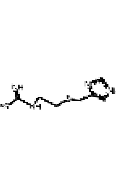 CSC(=N)NCCSCc1c[nH]cn1